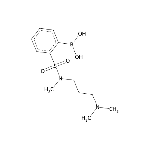 CN(C)CCCN(C)S(=O)(=O)c1ccccc1B(O)O